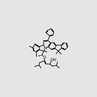 Cc1cc(C)c2c(c1)C1C=C(c3ccccc3)c3cc4c(cc3N1C2(C)[C@H](C)O/C(=C\C(O)CC(C)C)CC(C)C)C(C)(C)c1ccccc1-4